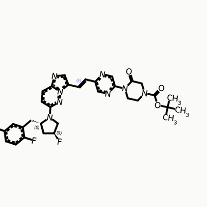 CC(C)(C)OC(=O)N1CCN(c2cnc(/C=C/c3cnc4ccc(N5C[C@@H](F)C[C@@H]5Cc5cc(F)ccc5F)nn34)cn2)C(=O)C1